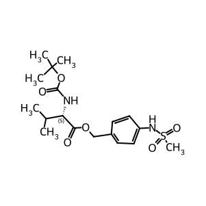 CC(C)[C@H](NC(=O)OC(C)(C)C)C(=O)OCc1ccc(NS(C)(=O)=O)cc1